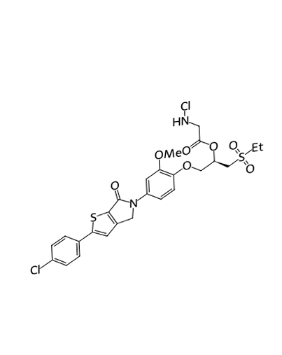 CCS(=O)(=O)C[C@@H](COc1ccc(N2Cc3cc(-c4ccc(Cl)cc4)sc3C2=O)cc1OC)OC(=O)CNCl